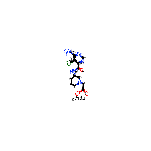 CC(C)(C)OC(=O)CN1CCCC(NC(=O)c2ncnc(N)c2Cl)C1